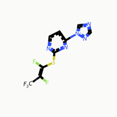 FC(Sc1nccc(-n2cncn2)n1)=C(F)C(F)(F)F